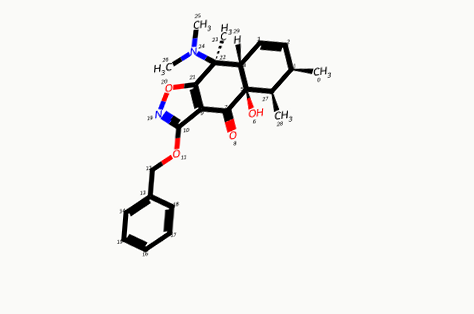 C[C@@H]1C=C[C@@H]2[C@@](O)(C(=O)c3c(OCc4ccccc4)noc3[C@@]2(C)N(C)C)[C@@H]1C